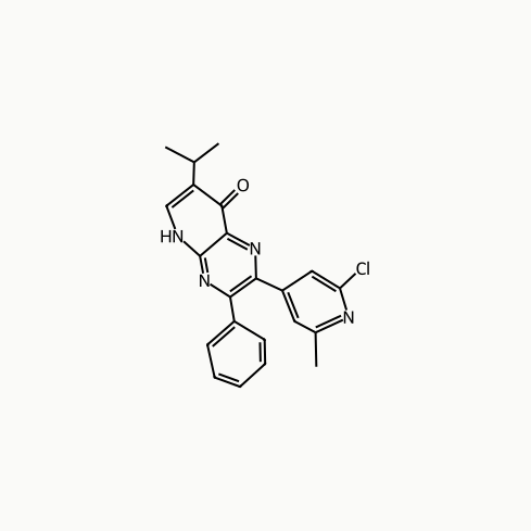 Cc1cc(-c2nc3c(=O)c(C(C)C)c[nH]c3nc2-c2ccccc2)cc(Cl)n1